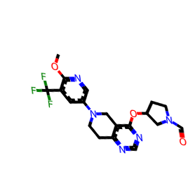 COc1ncc(N2CCc3ncnc(OC4CCN(C=O)C4)c3C2)cc1C(F)(F)F